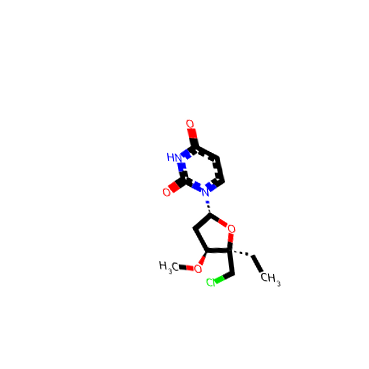 CC[C@@]1(CCl)O[C@@H](n2ccc(=O)[nH]c2=O)C[C@@H]1OC